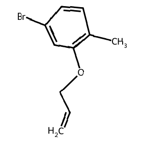 C=CCOc1cc(Br)ccc1C